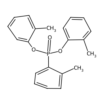 Cc1ccccc1OP(=O)(Oc1ccccc1C)c1ccccc1C